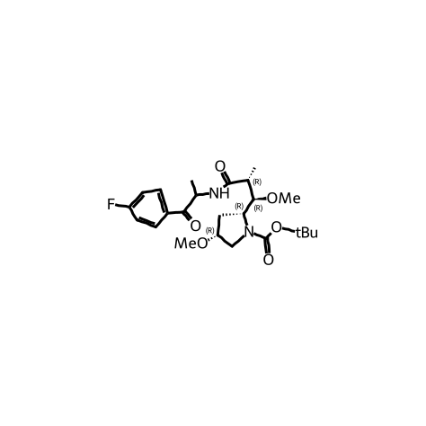 CO[C@@H]1C[C@H]([C@H](OC)[C@@H](C)C(=O)NC(C)C(=O)c2ccc(F)cc2)N(C(=O)OC(C)(C)C)C1